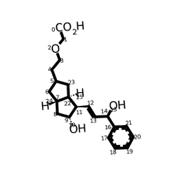 O=C(O)COCCC1C[C@H]2C[C@@H](O)[C@H](C=CC(O)c3ccccc3)[C@@H]2C1